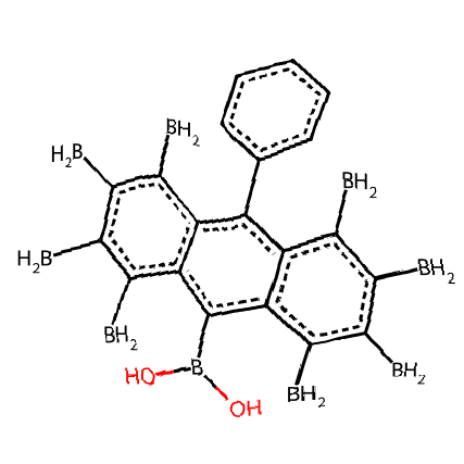 Bc1c(B)c(B)c2c(-c3ccccc3)c3c(B)c(B)c(B)c(B)c3c(B(O)O)c2c1B